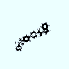 CC(C(=O)N1CCN(c2ccc(S(=O)(=O)Nc3nncs3)cc2)CC1)n1ccc2ccccc21